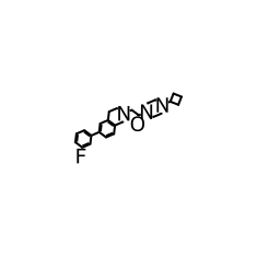 O=C(CN1CCc2cc(-c3cccc(F)c3)ccc2C1)N1CCN(C2CCC2)CC1